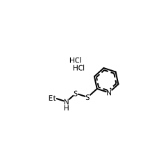 CCNSSc1ccccn1.Cl.Cl